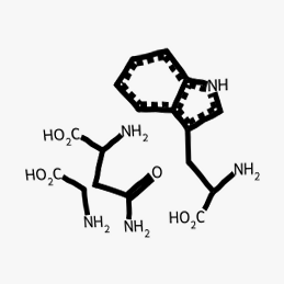 NC(=O)CC(N)C(=O)O.NC(Cc1c[nH]c2ccccc12)C(=O)O.NCC(=O)O